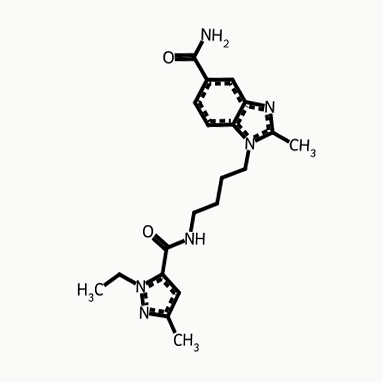 CCn1nc(C)cc1C(=O)NCCCCn1c(C)nc2cc(C(N)=O)ccc21